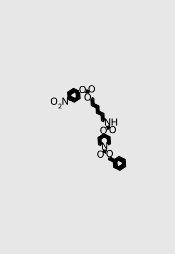 O=C(NCCCCCCOC(=O)Oc1ccc([N+](=O)[O-])cc1)OC1CCN(C(=O)OCc2ccccc2)CC1